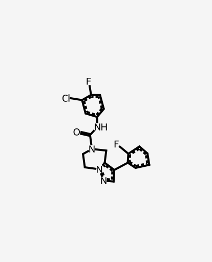 O=C(Nc1ccc(F)c(Cl)c1)N1CCn2ncc(-c3ccccc3F)c2C1